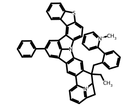 CCC1(Cc2ccccc2-c2cccc[n+]2C)c2cc3c(cc2-c2cccc4[n+]2C1C4)c1cc(-c2ccccc2)cc2c4c5c(ccc4n3c12)sc1ccccc15